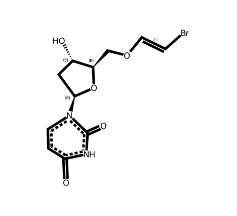 O=c1ccn([C@H]2C[C@H](O)[C@@H](CO/C=C/Br)O2)c(=O)[nH]1